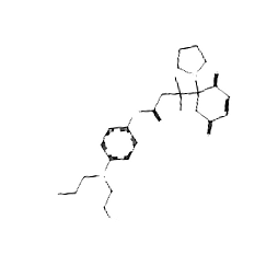 CC(C)(CC(=O)Oc1ccc(N(CCCl)CCCl)cc1)C1(N2CCCC2)CC(=O)C=CC1=O